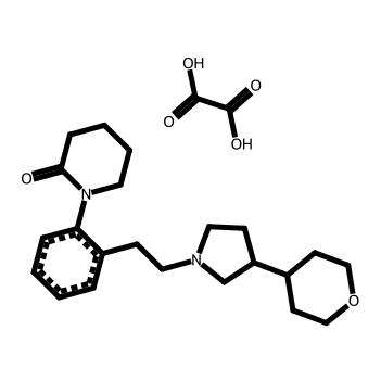 O=C(O)C(=O)O.O=C1CCCCN1c1ccccc1CCN1CCC(C2CCOCC2)C1